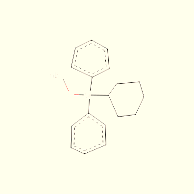 CCCCO[Si](c1ccccc1)(c1ccccc1)C1CCCCC1